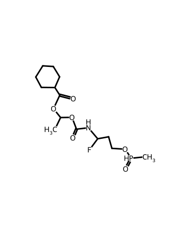 CC(OC(=O)NC(F)CCO[PH](C)=O)OC(=O)C1CCCCC1